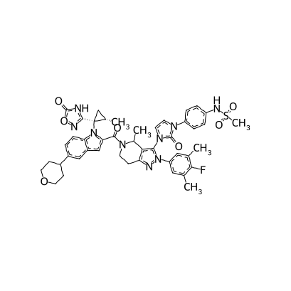 Cc1cc(-n2nc3c(c2-n2ccn(-c4ccc(NS(C)(=O)=O)cc4)c2=O)C(C)N(C(=O)c2cc4cc(C5CCOCC5)ccc4n2[C@@]2(c4noc(=O)[nH]4)C[C@@H]2C)CC3)cc(C)c1F